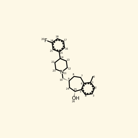 Cc1cccc2c1CC[C@@H](CN1CCC(c3cccc(F)c3)CC1)C[C@H]2O